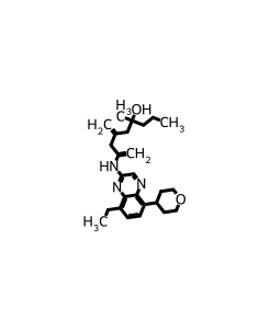 C=C(CC(=C)Nc1cnc2c(C3CCOCC3)ccc(CC)c2n1)CC(C)(O)CCC